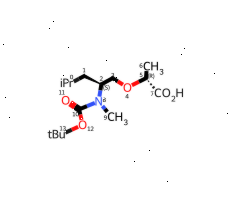 CC(C)C[C@@H](CO[C@H](C)C(=O)O)N(C)C(=O)OC(C)(C)C